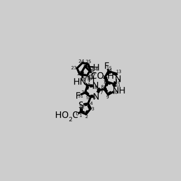 O=C(O)c1ccc(-c2nc(-c3c[nH]c4ncc(F)cc34)nc(N[C@H]3C4CCC(CC4)[C@@H]3C(=O)O)c2F)s1